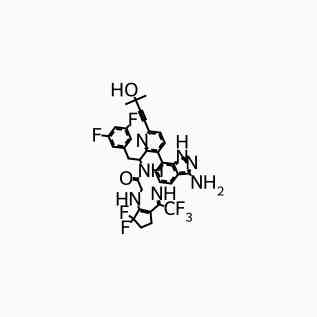 CC(C)(O)C#Cc1ccc(-c2cccc3c(N)n[nH]c23)c(C(Cc2cc(F)cc(F)c2)NC(=O)CNC2=C(C(=N)C(F)(F)F)CCC2(F)F)n1